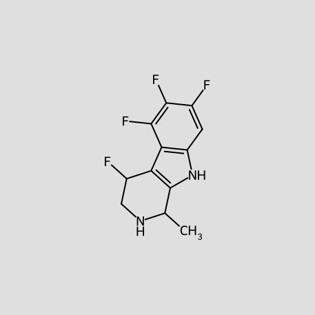 CC1NCC(F)c2c1[nH]c1cc(F)c(F)c(F)c21